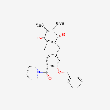 COC1=C(OC)C(=O)C(Cc2ccc(C(=O)N3CCCCC3)c(OCc3ccccc3)c2)=C(C)C1=O